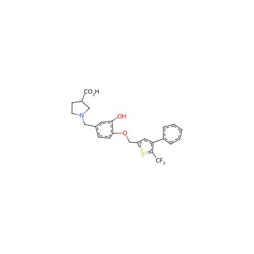 O=C(O)C1CCN(Cc2ccc(OCc3cc(-c4ccccc4)c(C(F)(F)F)s3)c(O)c2)C1